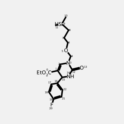 CCOC(=O)C1=CN(COCCC[SiH](C)C)C(=O)NC1c1ccc(F)cc1